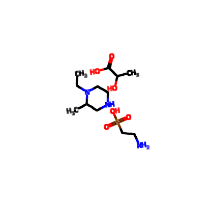 CC(O)C(=O)O.CCN1CCNCC1C.NCCS(=O)(=O)O